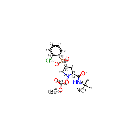 CC(C)(C#N)NC(=O)[C@@H]1C[C@@H](S(=O)(=O)c2ccccc2Cl)CN1OC(=O)OC(C)(C)C